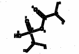 CC(C)C(=O)OP(=O)(O)C(C)C